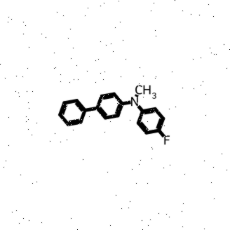 CN(c1ccc(F)cc1)c1ccc(-c2ccccc2)cc1